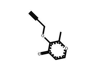 C#CCOc1c(C)occc1=O